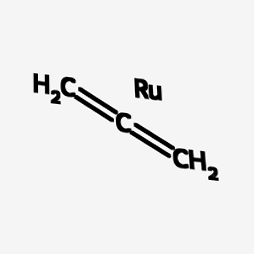 C=C=C.[Ru]